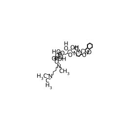 CCN(CC)CCCCN(CC)COP(=O)(O)OP(=O)(O)OCC1OC(n2ccc(=O)n(Cc3noc4ccccc34)c2=O)[C@@H](O)C1O